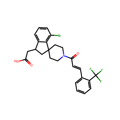 O=C(O)CC1CC2(CCN(C(=O)C=Cc3ccccc3C(F)(F)F)CC2)c2c(Br)cccc21